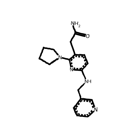 NC(=O)Cc1ccc(NCc2cccnc2)nc1N1CCCC1